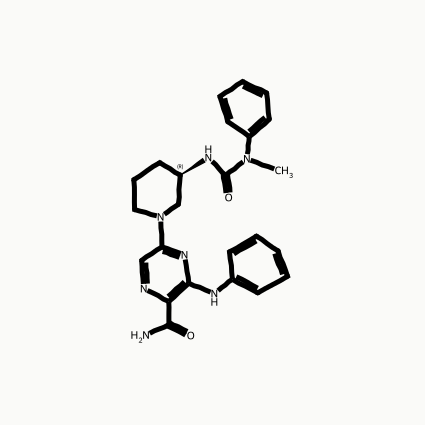 CN(C(=O)N[C@@H]1CCCN(c2cnc(C(N)=O)c(Nc3ccccc3)n2)C1)c1ccccc1